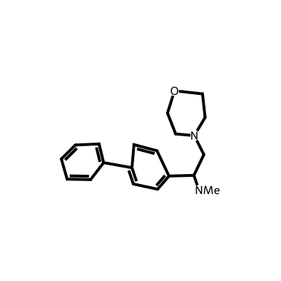 CNC(CN1CCOCC1)c1ccc(-c2ccccc2)cc1